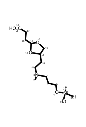 CC[Si](CC)(CC)OCCCN(C)CCC1COC(CCC(=O)O)O1